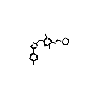 Cc1ccc(-c2csc(Cc3cc(C)c(N=CN4CCCC4)cc3C)n2)cc1